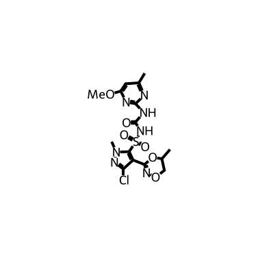 COc1cc(C)nc(NC(=O)NS(=O)(=O)c2c(C3=NOCC(C)O3)c(Cl)nn2C)n1